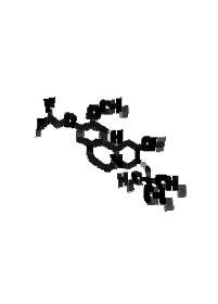 COc1cc2c(cc1OCC(F)F)CCN1C[C@@H](CC(C)(C)C)[C@H](O)C[C@H]21